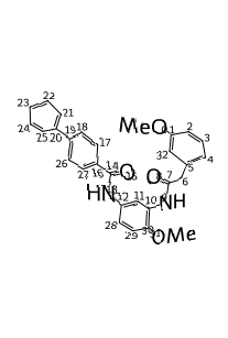 COc1cccc(CC(=O)Nc2cc(NC(=O)c3ccc(-c4ccccc4)cc3)ccc2OC)c1